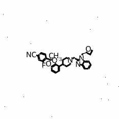 C[C@@]1(c2ccc(C#N)cc2F)Oc2cccc(C3CCN(Cc4nc5ccccc5n4C[C@@H]4CCO4)CC3)c2O1